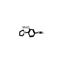 COc1cc([N+]#N)ccc1N1CCCC1